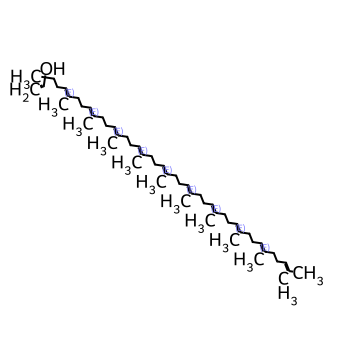 C=CC(C)(O)CC/C=C(\C)CC/C=C(\C)CC/C=C(\C)CC/C=C(\C)CC/C=C(\C)CC/C=C(\C)CC/C=C(\C)CC/C=C(\C)CC/C=C(\C)CCC=C(C)C